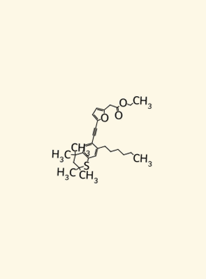 CCCCCCc1cc2c(cc1C#Cc1ccc(CC(=O)OCC)o1)C(C)(C)CC(C)(C)S2